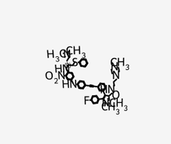 CC1C(C(=O)NCCCN2CCN(C)CC2)C(c2cccc(C#Cc3ccc(Nc4ccc(N[C@H](CCN(C)C)CSc5ccccc5)c([N+](=O)[O-])c4)cc3)c2)=C(c2ccc(F)cc2)N1C